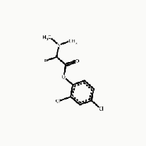 CN(C)C(F)C(=O)Oc1ccc(Cl)cc1Cl